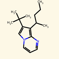 CCCC(C)c1c(C(C)(C)C)cn2cccnc12